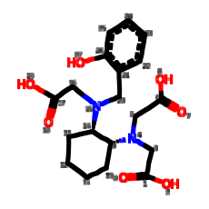 O=C(O)CN(CC(=O)O)[C@@H]1CCCC[C@H]1N(CC(=O)O)Cc1ccccc1O